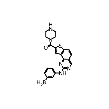 Bc1cccc(Nc2ncc3ccc4sc(C(=O)N5CCNCC5)cc4c3n2)c1